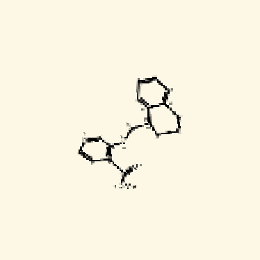 COC(=O)c1ccncc1NC[C@@H]1CCCc2ccccc21